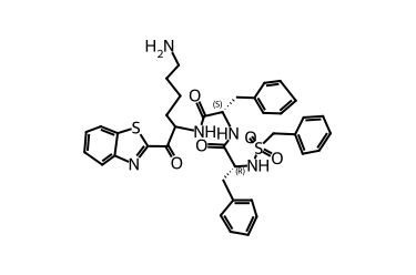 NCCCCC(NC(=O)[C@H](Cc1ccccc1)NC(=O)[C@@H](Cc1ccccc1)NS(=O)(=O)Cc1ccccc1)C(=O)c1nc2ccccc2s1